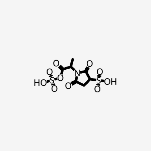 CC(C(=O)OS(=O)(=O)O)N1C(=O)CC(S(=O)(=O)O)C1=O